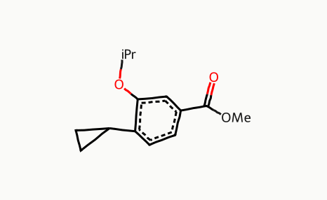 COC(=O)c1ccc(C2CC2)c(OC(C)C)c1